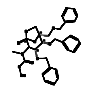 CN(C(=O)OC(C)(C)C)C1[C@@H]2OC[C@](COCc3ccccc3)(O2)[C@H](OCc2ccccc2)[C@@H]1OCc1ccccc1